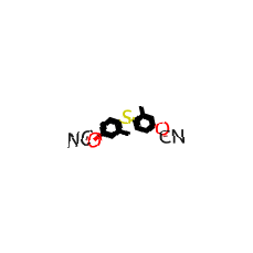 Cc1cc(OC#N)ccc1Sc1ccc(OC#N)cc1C